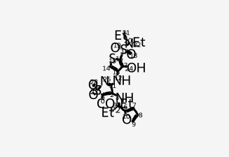 CCOC(=O)C1=C(N[C@H](CC)c2ccco2)C(Nc2csc(S(=O)(=O)N(CC)CC)c2O)=NS1(=O)=O